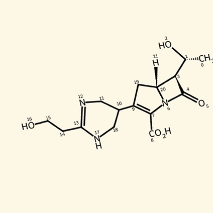 C[C@@H](O)[C@H]1C(=O)N2C(C(=O)O)=C(C3CN=C(CCO)NC3)C[C@H]12